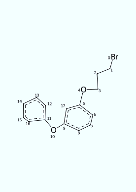 BrCCCOc1cccc(Oc2ccccc2)c1